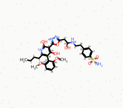 CCCCc1nc(O)c(-c2nnc(CC(O)NCCc3ccc(S(N)(=O)=O)cc3)o2)c(O)c1-c1c(OC)cccc1OC